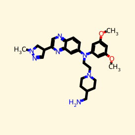 COc1cc(OC)cc(N(CCN2CCC(CN)CC2)c2ccc3ncc(C4C=NN(C)C4)nc3c2)c1